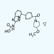 C1CC1.COC1CCN(C(=O)c2ccc(-c3cccc4nc(NC(=O)O)nn34)cc2)CC1